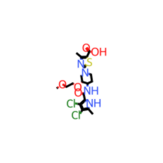 COCCOC1CN(c2nc(C)c(C(=O)O)s2)CCC1NC(=O)c1[nH]c(C)c(Cl)c1Cl